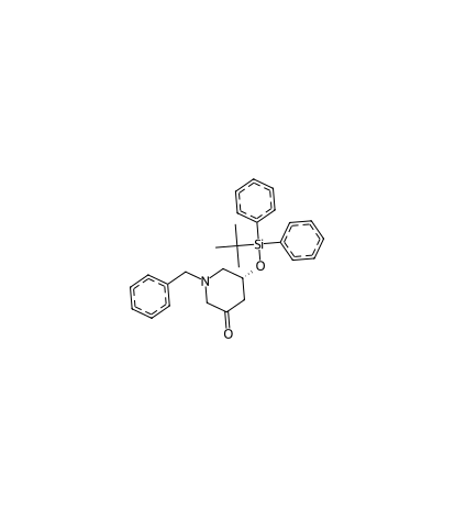 CC(C)(C)[Si](O[C@@H]1CC(=O)CN(Cc2ccccc2)C1)(c1ccccc1)c1ccccc1